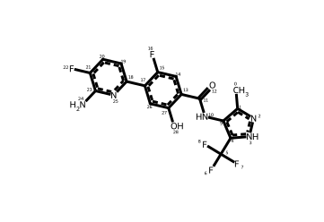 Cc1n[nH]c(C(F)(F)F)c1NC(=O)c1cc(F)c(-c2ccc(F)c(N)n2)cc1O